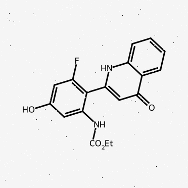 CCOC(=O)Nc1cc(O)cc(F)c1-c1cc(=O)c2ccccc2[nH]1